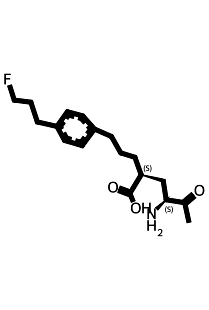 CC(=O)[C@@H](N)C[C@H](CCCc1ccc(CCCF)cc1)C(=O)O